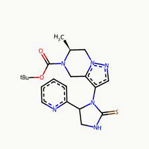 C[C@H]1Cn2ncc(N3C(=S)NCC3c3ccccn3)c2CN1C(=O)OC(C)(C)C